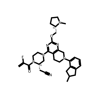 C=C(F)C(=O)N1CCN(c2nc(OC[C@@H]3CCCN3C)nc3c2CCN(c2cccc4c2CC(C)C4)C3)C[C@@H]1CC#N